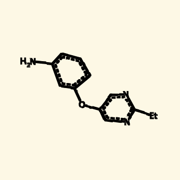 CCc1ncc(Oc2cccc(N)c2)cn1